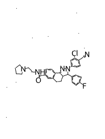 N#Cc1ccc(N2N=C3c4ccc(C(=O)NCCN5CCCC5)cc4CCC3C2c2ccc(F)cc2)cc1Cl